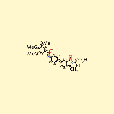 CCC(C(=O)O)N1C(=O)c2cc(-c3ccc(NC(=O)c4cc(OC)c(OC)c(OC)c4)cc3)ccc2[C@@H]1C